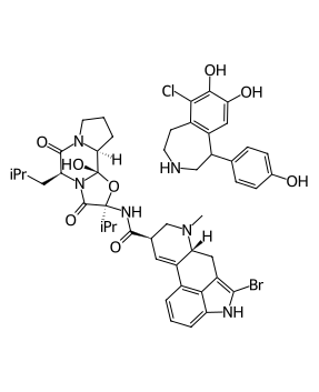 CC(C)C[C@H]1C(=O)N2CCC[C@H]2[C@]2(O)O[C@](NC(=O)[C@@H]3C=C4c5cccc6[nH]c(Br)c(c56)C[C@H]4N(C)C3)(C(C)C)C(=O)N12.Oc1ccc(C2CNCCc3c2cc(O)c(O)c3Cl)cc1